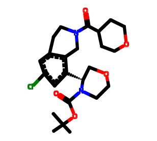 CC(C)(C)OC(=O)N1CCOC[C@H]1c1cc(Cl)cc2c1CN(C(=O)C1CCOCC1)CC2